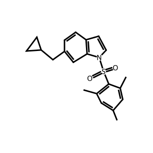 Cc1cc(C)c(S(=O)(=O)n2ccc3ccc(CC4CC4)cc32)c(C)c1